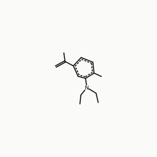 C=C(C)c1ccc(C)c(N(CC)CC)c1